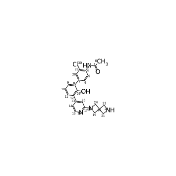 CC(=O)Nc1ccc(-c2cccc(-c3ccnc(N4CC5(CNC5)C4)c3)c2O)cc1Cl